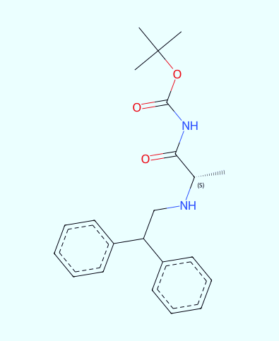 C[C@H](NCC(c1ccccc1)c1ccccc1)C(=O)NC(=O)OC(C)(C)C